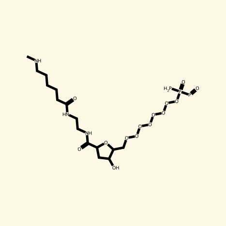 CNCCCCCC(=O)NCCNC(=O)C1CC(O)C(COOOOOOOOP(=O)(P)P=O)O1